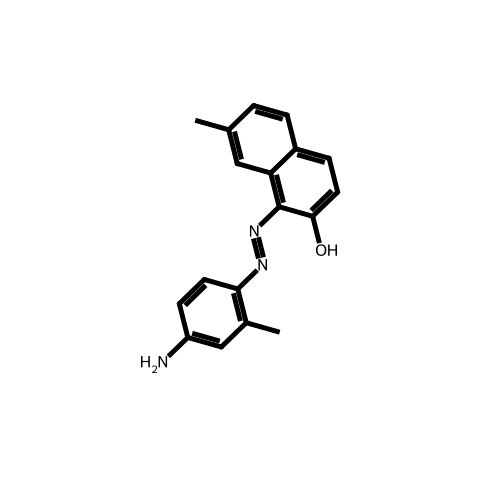 Cc1ccc2ccc(O)c(/N=N/c3ccc(N)cc3C)c2c1